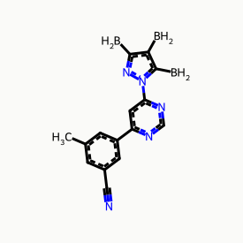 Bc1nn(-c2cc(-c3cc(C)cc(C#N)c3)ncn2)c(B)c1B